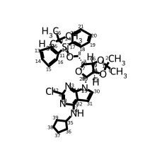 CC1(C)O[C@@H]2[C@H](O1)[C@@H](CO[Si](c1ccccc1)(c1ccccc1)C(C)(C)C)O[C@H]2n1ccc2c(NC3CCCC3)nc(Cl)nc21